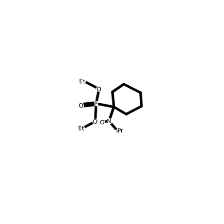 CCOP(=O)(OCC)C1(N([O])C(C)C)CCCCC1